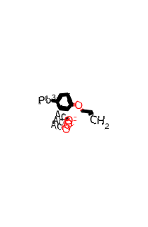 C=CCOc1cc[c]([Pb+3])cc1.CC(=O)[O-].CC(=O)[O-].CC(=O)[O-]